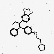 CCC(=C(c1ccccc1)c1ccc(OCCN2CCCC2)cc1)c1ccc2c(c1)OCO2